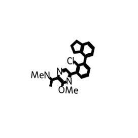 CNC(C)c1ncc(-c2cccc(-c3cccc4c3CCC4)c2Cl)nc1OC